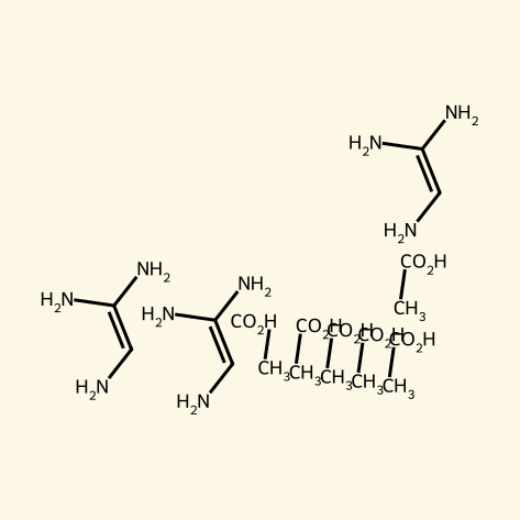 CC(=O)O.CC(=O)O.CC(=O)O.CC(=O)O.CC(=O)O.CC(=O)O.NC=C(N)N.NC=C(N)N.NC=C(N)N